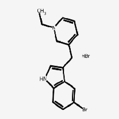 Br.CCN1C=CC=C(Cc2c[nH]c3ccc(Br)cc23)C1